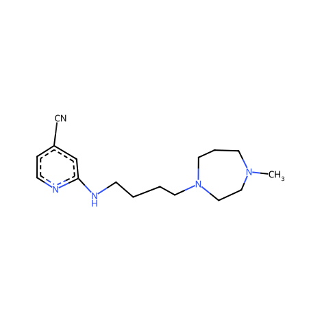 CN1CCCN(CCCCNc2cc(C#N)ccn2)CC1